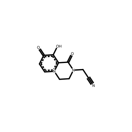 N#CCN1CCn2ccc(=O)c(O)c2C1=O